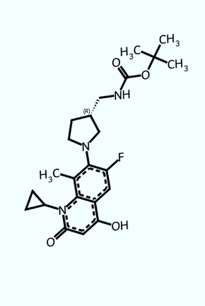 Cc1c(N2CC[C@H](CNC(=O)OC(C)(C)C)C2)c(F)cc2c(O)cc(=O)n(C3CC3)c12